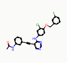 CC(=O)Nc1cccc(C#Cc2cncnc2Nc2ccc(OCc3cccc(F)c3)c(Cl)c2)c1